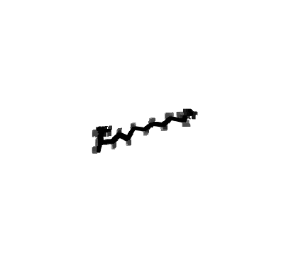 CC(=N)CCCCCCCCCC(C)C